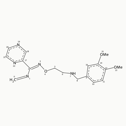 C=N/C(=N\OCCNCc1ccc(OC)c(OC)c1)c1cnccn1